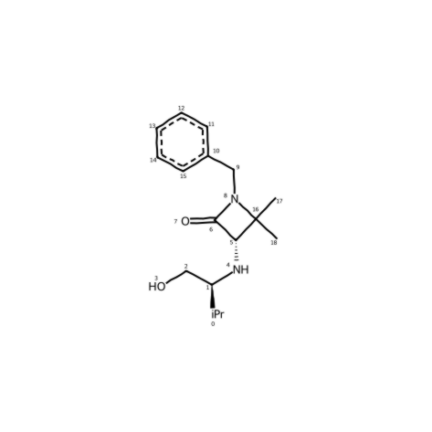 CC(C)[C@@H](CO)N[C@@H]1C(=O)N(Cc2ccccc2)C1(C)C